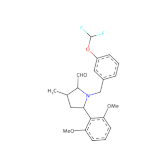 COc1cccc(OC)c1C1CC(C)C(C=O)N1Cc1cccc(OC(F)F)c1